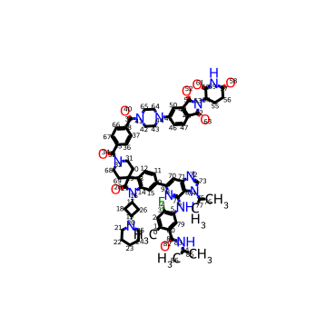 Cc1cc(F)c(Nc2nc(-c3ccc4c(c3)N([C@H]3C[C@@H](N5CCCCC5)C3)C(=O)C43CCN(C(=O)c4ccc(C(=O)N5CCN(c6ccc7c(c6)C(=O)N(C6CCC(=O)NC6=O)C7=O)CC5)cc4)CC3)cc3ncn(C(C)C)c23)cc1C(=O)NC(C)C